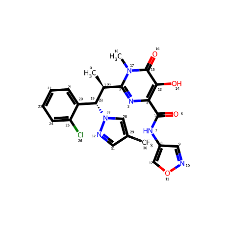 C[C@@H](c1nc(C(=O)Nc2cnoc2)c(O)c(=O)n1C)[C@@H](c1ccccc1Cl)n1cc(C(F)(F)F)cn1